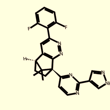 CC1(C)[C@H]2CC[C@@]1(c1ccnc(-c3cn[nH]c3)n1)c1nnc(-c3c(F)cccc3F)cc12